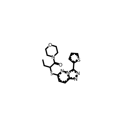 CCC(Sc1ccc2nnc(-c3cccs3)n2n1)C(=O)N1CCOCC1